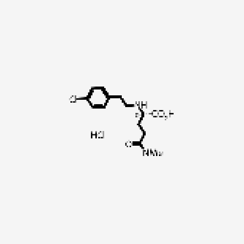 CNC(=O)CC[C@H](NCCc1ccc(Cl)cc1)C(=O)O.Cl